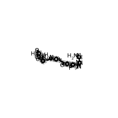 Cc1nc2ccc(-c3ccnc(N)c3)nc2n1-c1ccc(N2CCN(C(=O)CCCN3CCC(n4cc(CNc5cccc6c5C(=O)N(C5CCC(=O)NC5=O)C6=O)cn4)CC3)CC2)c(F)c1